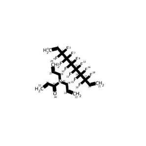 C=CC(F)(F)C(F)(F)C(F)(F)C(F)(F)C(F)(F)C(F)(F)C=C.C=CCN(CC=C)C(=O)C=C